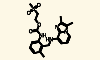 Cc1cccc(NC(=O)OCCS(C)(=O)=O)c1CNc1cccn2c(C)c(C)nc12